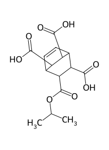 CC(C)OC(=O)C1C2C=CC(C(C(=O)O)C2C(=O)O)C1C(=O)O